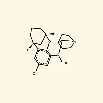 O=CN(c1cc(Cl)cc2c1O[C@H]1CCC[C@@H]2C1)C1CN2CCC1CC2